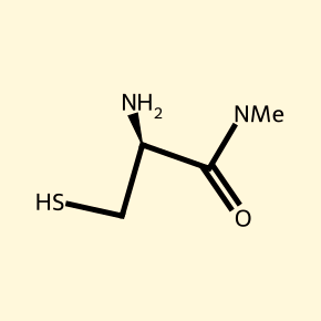 CNC(=O)[C@H](N)CS